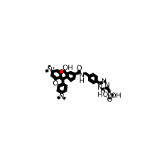 CN(C)c1ccc2c(-c3ccc(C(=O)NCc4ccc(-c5nnc(CP(=O)(O)O)nn5)cc4)cc3C(=O)O)c3ccc(=[N+](C)C)cc-3oc2c1